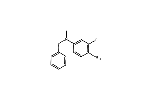 CN(Cc1ccccc1)c1ccc(N)c(F)c1